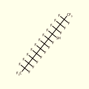 FC(F)(F)C(F)(F)C(F)(F)C(F)(F)C(F)(F)C(F)(F)C(F)(F)C(F)(F)C(F)(S)C(F)(F)C(F)(F)C(F)(F)C(F)(F)F